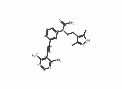 Cc1n[nH]c(C)c1CCN(C(N)=O)c1cccc(C#Cc2c(N)ncnc2N)c1